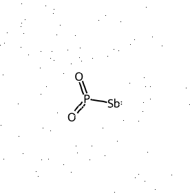 O=[P](=O)[Sb]